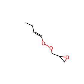 CCC=COOCC1CO1